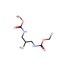 CC(CNC(=O)OCCl)CNC(=O)OC(C)(C)C